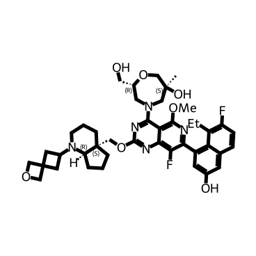 CCc1c(F)ccc2cc(O)cc(-c3nc(OC)c4c(N5C[C@H](CO)OC[C@@](C)(O)C5)nc(OC[C@]56CCC[C@H]5N(C5CC7(COC7)C5)CCC6)nc4c3F)c12